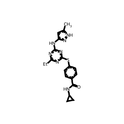 CCc1nc(Nc2cc(C)[nH]n2)nc(Sc2ccc(C(=O)NC3CC3)cc2)n1